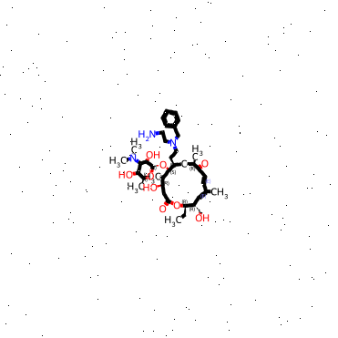 CC[C@H]1OC(=O)C[C@@H](O)[C@H](C)[C@@H](O[C@@H]2O[C@H](C)C(O)C(N(C)C)C2O)[C@@H](CCN(CCN)Cc2ccccc2)C[C@@H](C)C(=O)/C=C/C(C)=C/[C@@H]1CO